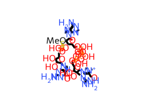 COC1C(OP(O)(=S)OCC2OC(n3cnc4c(=O)[nH]c(N)nc43)C(O)C2O)C(COP(=O)(O)OP(=O)(O)OP(=O)(O)OCC2OC(n3c[n+](C)c4c(=O)[nH]c(N)nc43)C(C)(O)C2O)OC1n1cnc2c(N)ncnc21